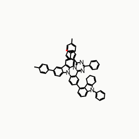 Cc1ccc(-c2ccc3c(c2)c2cc(-c4ccc(C)cc4)ccc2n3-c2ccc(-c3cccc4c3c3c(n4-c4ccccc4)C=CCC3)cc2-c2nc(-c3ccccc3)nc(-c3ccccc3)n2)cc1